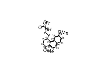 CCCC(=O)NCCC1CCC(OC)c2ccc3ccc(OC)cc3c21